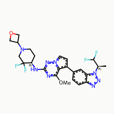 COc1nc(N[C@@H]2CCN(C3COC3)CC2(F)F)nn2ccc(-c3ccc4nnn([C@H](C)C(F)F)c4c3)c12